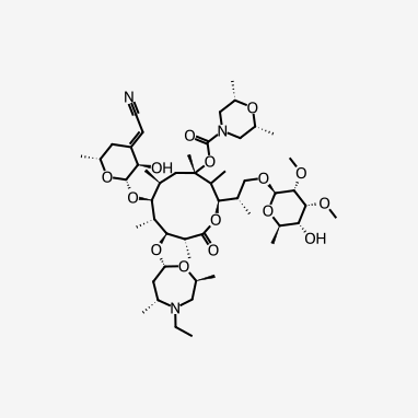 CCN1C[C@H](C)O[C@@H](O[C@H]2[C@H](C)[C@@H](O[C@@H]3O[C@H](C)C/C(=C\C#N)[C@H]3O)[C@@H](C)C[C@](C)(OC(=O)N3C[C@@H](C)O[C@@H](C)C3)C(C)[C@@H]([C@@H](C)CO[C@@H]3O[C@H](C)[C@@H](O)[C@@H](OC)[C@H]3OC)OC(=O)[C@@H]2C)C[C@H]1C